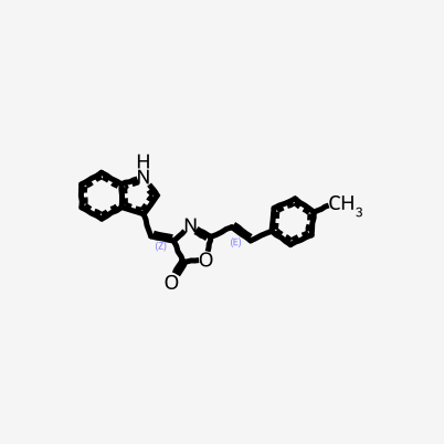 Cc1ccc(/C=C/C2=NC(=C\c3c[nH]c4ccccc34)/C(=O)O2)cc1